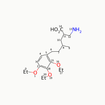 CCOc1ccc(CCC(C)CC(CN)C(=O)O)c(OCC)c1OCC